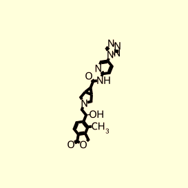 Cc1c([C@@H](O)CN2CC3C(C2)C3C(=O)Nc2ccc(-n3cnnn3)cn2)ccc2c1COC2=O